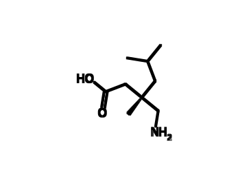 CC(C)C[C@](C)(CN)CC(=O)O